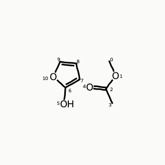 COC(C)=O.Oc1ccco1